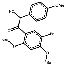 CCCCOc1cc(OCCCC)c(C(=O)C(C#N)c2ccc(OC)cc2)cc1Br